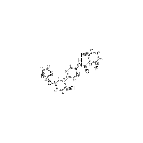 O=C(Nc1ccc(-c2cc(Oc3nccs3)ccc2Cl)cn1)c1c(F)cccc1F